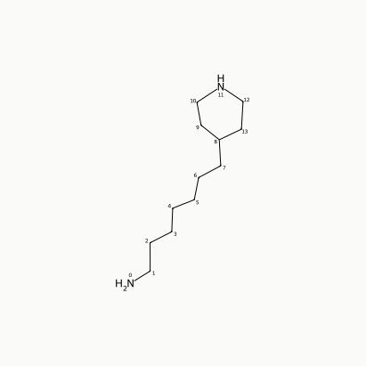 NCCCCCCCC1CCNCC1